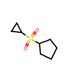 O=S(=O)(C1C[CH]CC1)C1CC1